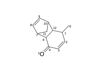 CC1C=CC(=O)C2C3C=CC(C3)C12